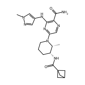 C[C@@H]1[C@H](NC(=O)C23CC(C2)C3)CCCN1c1cnc(C(N)=O)c(Nc2cnn(C)c2)n1